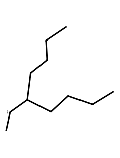 C[C]C(CCCC)CCCC